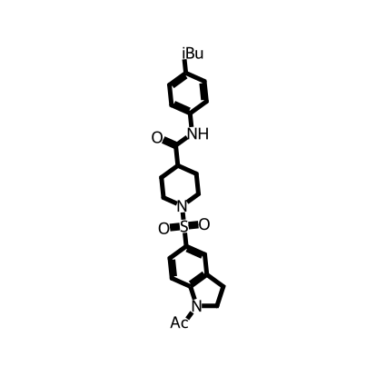 CCC(C)c1ccc(NC(=O)C2CCN(S(=O)(=O)c3ccc4c(c3)CCN4C(C)=O)CC2)cc1